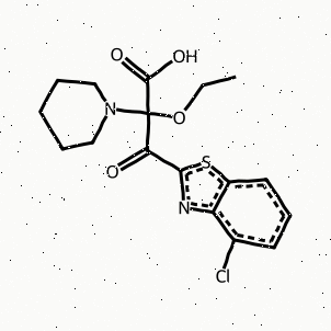 CCOC(C(=O)O)(C(=O)c1nc2c(Cl)cccc2s1)N1CCCCC1